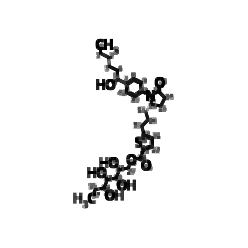 CCCCC[C@H](O)c1ccc(N2C(=O)CC[C@@H]2CCCc2ccc(C(=O)OC[C@@H](O)[C@H](O)[C@H](O)[C@H](O)CC)s2)cc1